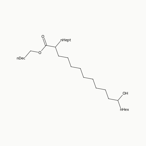 CCCCCCCCCCCOC(=O)C(CCCCCCC)CCCCCCCCCC(O)CCCCCC